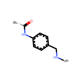 CCCNCc1ccc(NC(=O)[C@@H](C)CC)cc1